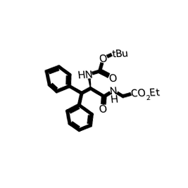 CCOC(=O)CNC(=O)[C@H](NC(=O)OC(C)(C)C)C(c1ccccc1)c1ccccc1